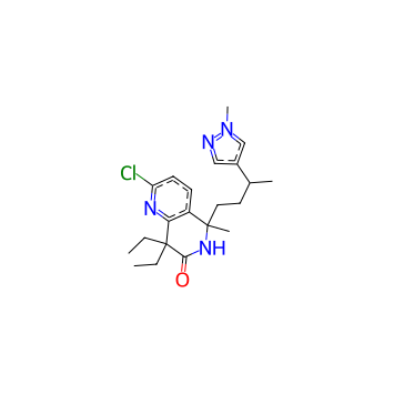 CCC1(CC)C(=O)NC(C)(CCC(C)c2cnn(C)c2)c2ccc(Cl)nc21